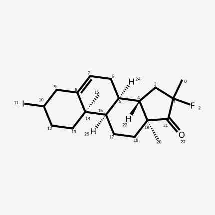 CC1(F)C[C@H]2[C@@H]3CC=C4CC(I)CC[C@]4(C)[C@@H]3CC[C@]2(C)C1=O